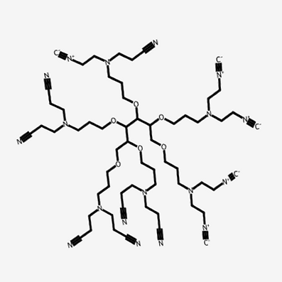 [C-]#[N+]CCN(CCC#N)CCCOC(C(COCCCN(CC[N+]#[C-])CC[N+]#[C-])OCCCN(CC[N+]#[C-])CC[N+]#[C-])C(OCCCN(CCC#N)CCC#N)C(COCCCN(CCC#N)CCC#N)OCCCN(CCC#N)CCC#N